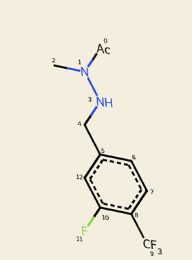 CC(=O)N(C)NCc1ccc(C(F)(F)F)c(F)c1